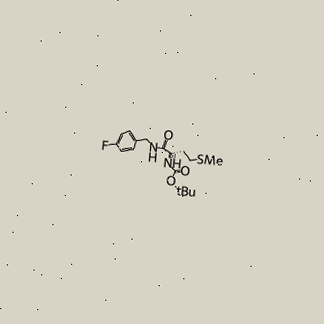 CSCC[C@H](NC(=O)OC(C)(C)C)C(=O)NCc1ccc(F)cc1